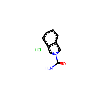 Cl.NC(=O)n1cc2ccccc2c1